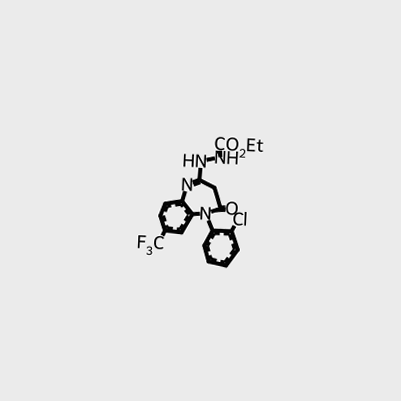 CCOC(=O)NNC1=Nc2ccc(C(F)(F)F)cc2N(c2ccccc2Cl)C(=O)C1